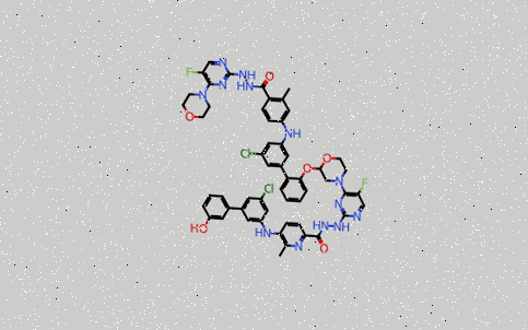 Cc1cc(Nc2cc(Cl)cc(-c3ccccc3OC3CN(c4nc(NNC(=O)c5ccc(Nc6cc(Cl)cc(-c7cccc(O)c7)c6)c(C)n5)ncc4F)CCO3)c2)ccc1C(=O)NNc1ncc(F)c(N2CCOCC2)n1